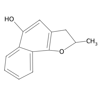 CC1Cc2cc(O)c3ccccc3c2O1